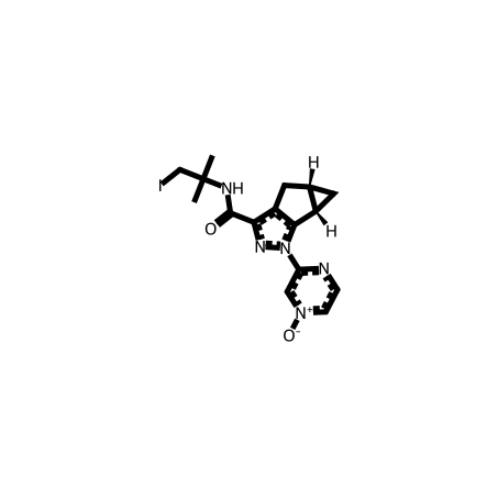 CC(C)(CI)NC(=O)c1nn(-c2c[n+]([O-])ccn2)c2c1C[C@@H]1C[C@H]21